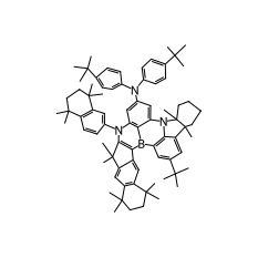 CC(C)(C)c1ccc(N(c2ccc(C(C)(C)C)cc2)c2cc3c4c(c2)N2c5c(cc(C(C)(C)C)cc5C5(C)CCCCC25C)B4C2=C(N3c3ccc4c(c3)C(C)(C)CCC4(C)C)C(C)(C)c3cc4c(cc32)C(C)(C)CCC4(C)C)cc1